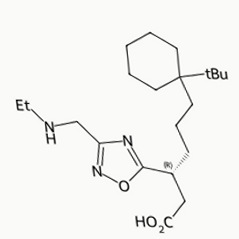 CCNCc1noc([C@H](CCCC2(C(C)(C)C)CCCCC2)CC(=O)O)n1